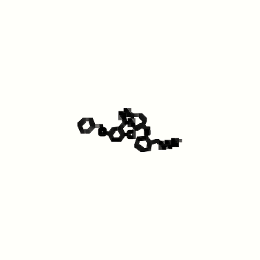 [N-]=[N+]=NCc1ccccc1Sc1ccc2nnc(-c3cc(OCc4ccccc4)ccc3Cl)n2c1